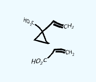 C=CC(=O)O.C=CC1(C(=O)O)CC1